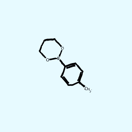 [CH2]c1ccc(B2OCCCO2)cc1